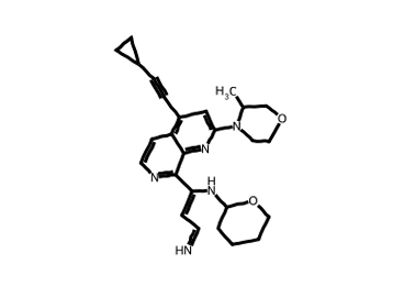 CC1COCCN1c1cc(C#CC2CC2)c2ccnc(/C(=C/C=N)NC3CCCCO3)c2n1